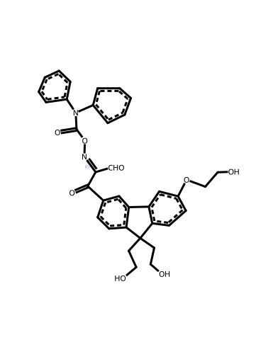 O=C/C(=N\OC(=O)N(c1ccccc1)c1ccccc1)C(=O)c1ccc2c(c1)-c1cc(OCCO)ccc1C2(CCO)CCO